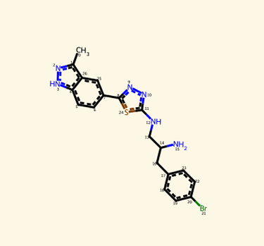 Cc1n[nH]c2ccc(-c3nnc(NCC(N)Cc4ccc(Br)cc4)s3)cc12